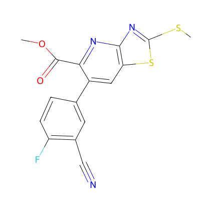 COC(=O)c1nc2nc(SC)sc2cc1-c1ccc(F)c(C#N)c1